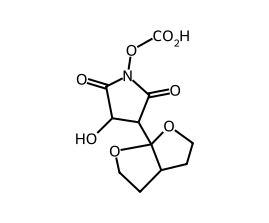 O=C(O)ON1C(=O)C(O)C(C23OCCC2CCO3)C1=O